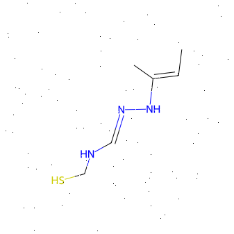 C/C=C(\C)NN=CNCS